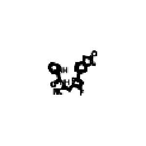 CN1C(=O)Cc2ccc(-c3cc(F)c(CC(C#N)NC(=O)C4NC5CCC4C5)s3)cc21